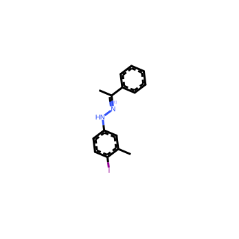 C/C(=N\Nc1ccc(I)c(C)c1)c1ccccc1